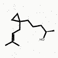 CC(C)=CCC1(CCC[C@@H](C)O)CC1